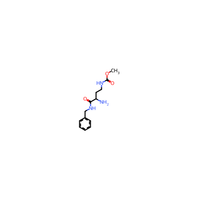 COC(=O)NCCC(N)C(=O)NCc1ccccc1